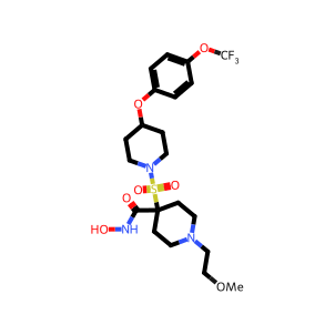 COCCN1CCC(C(=O)NO)(S(=O)(=O)N2CCC(Oc3ccc(OC(F)(F)F)cc3)CC2)CC1